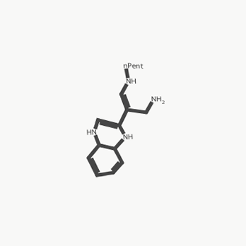 CCCCCN/C=C(\CN)C1=CNC2C=CC=CC2N1